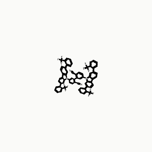 N#Cc1ccc(-n2c3cc(-c4ccccc4C(F)(F)F)ccc3c3ccc(-c4ccccc4C(F)(F)F)cc32)cc1-c1cc(-n2c3cc(-c4ccccc4C(F)(F)F)ccc3c3ccc(-c4ccccc4C(F)(F)F)cc32)ccc1C#N